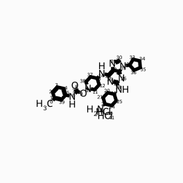 Cc1cccc(NC(=O)ON2CCC(Nc3nc(N[C@H]4CC[C@H](N)CC4)nc4c3ncn4C3CCCC3)CC2)c1.Cl.Cl